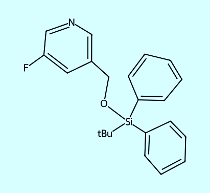 CC(C)(C)[Si](OCc1cncc(F)c1)(c1ccccc1)c1ccccc1